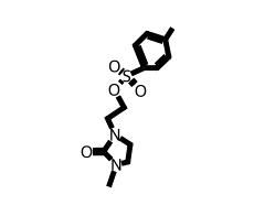 Cc1ccc(S(=O)(=O)OCCN2CCN(C)C2=O)cc1